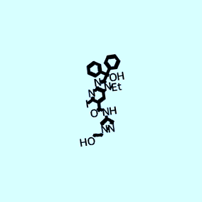 CCn1c(C(O)(c2ccccc2)c2ccccc2)nc2nc(I)c(C(=O)Nc3cnn(CCO)c3)cc21